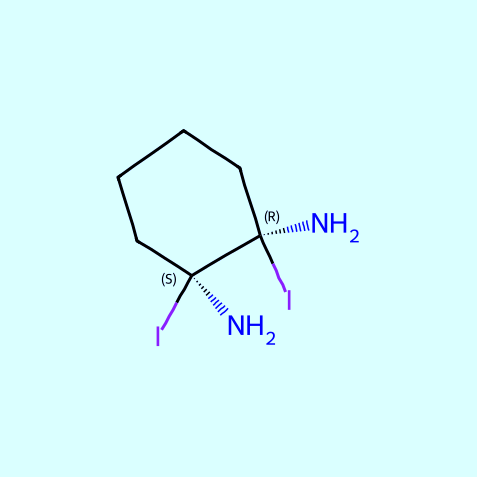 N[C@]1(I)CCCC[C@@]1(N)I